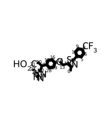 Cc1nc(-c2ccc(C(F)(F)F)cc2)sc1COc1ccc(C(CC(=O)O)c2nnnn2C)cc1